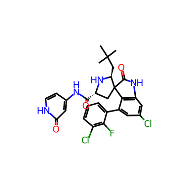 CC(C)(C)C[C@@H]1N[C@@H](C(=O)Nc2cc[nH]c(=O)c2)CC12C(=O)Nc1cc(Cl)cc(-c3cccc(Cl)c3F)c12